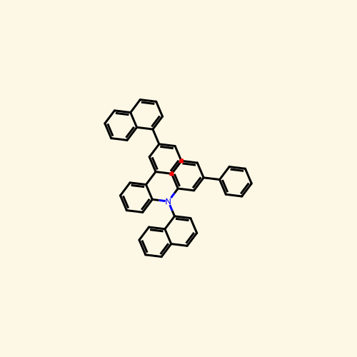 c1ccc(-c2cccc(N(c3ccccc3-c3cccc(-c4cccc5ccccc45)c3)c3cccc4ccccc34)c2)cc1